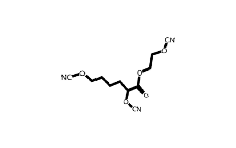 N#COCCCCC(OC#N)C(=O)OCCOC#N